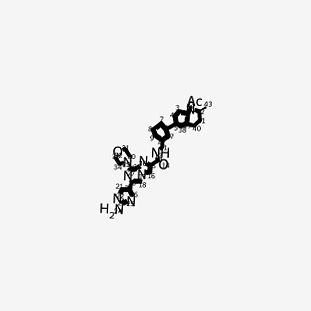 CC(=O)N1c2ccc(-c3cccc(CNC(=O)c4cn5cc(-c6cnc(N)nc6)nc(N6CCOCC6)c5n4)c3)cc2CC[C@@H]1C